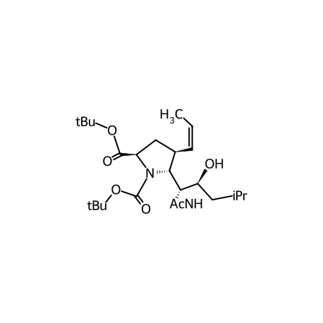 C/C=C\[C@@H]1C[C@H](C(=O)OC(C)(C)C)N(C(=O)OC(C)(C)C)[C@H]1[C@@H](NC(C)=O)[C@@H](O)CC(C)C